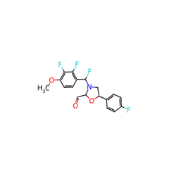 COc1ccc(C(F)N2CC(c3ccc(F)cc3)OC2C=O)c(F)c1F